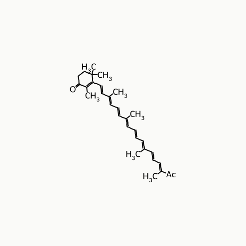 CC(=O)/C(C)=C/C=C/C(C)=C/C=C/C=C(C)/C=C/C=C(C)/C=C/C1=C(C)C(=O)CCC1(C)C